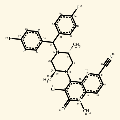 C[C@@H]1CN(c2c(Cl)c(=O)n(C)c3ccc(C#N)nc23)[C@@H](C)CN1C(c1ccc(F)cc1)c1ccc(F)cc1